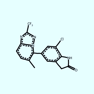 Cc1ccc2nc(C(F)(F)F)nn2c1-c1cc(Cl)c2c(c1)CC(=O)N2